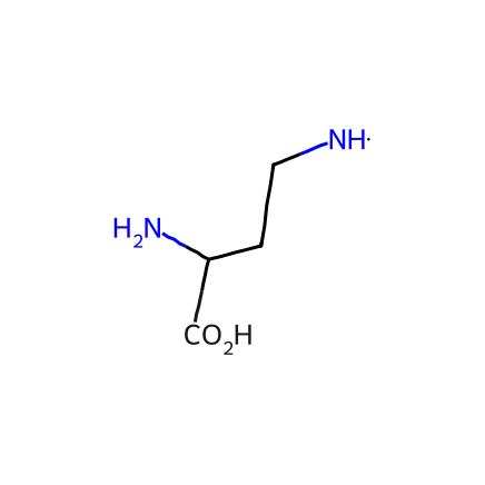 [NH]CCC(N)C(=O)O